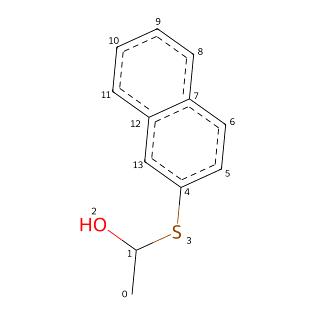 CC(O)Sc1ccc2ccccc2c1